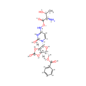 CC(O)[C@@H](N)C(=O)ONc1ccn([C@@H]2O[C@H](COC(=O)c3ccccc3)[C@H]3OC(=O)O[C@H]32)c(=O)n1